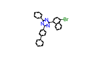 Brc1ccc(-c2nc(-c3ccccc3)nc(-c3ccc(-c4ccccc4)cc3)n2)c2ccccc12